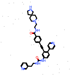 O=C(NCCc1cccnc1)Nc1ccc(-c2ccncc2)c(C#Cc2ccc(C(=O)NCCN3CCC4(CCNC4)CC3)cc2)c1